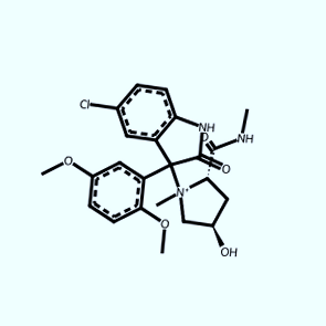 CNC(=O)[C@@H]1C[C@@H](O)C[N+]1(C)C1(c2cc(OC)ccc2OC)C(=O)Nc2ccc(Cl)cc21